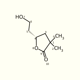 CC1(C)C[C@@H](CCO)OC1=O